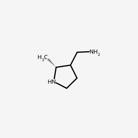 C[C@H]1NCCC1CN